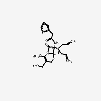 C=CCN(CC=C)[C@]1(NC(=O)Cc2cccs2)C(=O)N2C(C(=O)O)=C(COC(C)=O)CS[C@@H]21